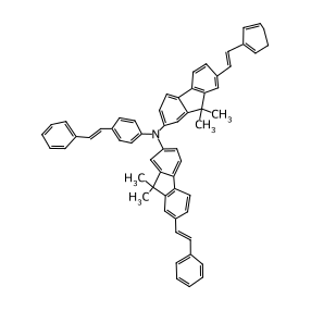 CC1(C)c2cc(/C=C/C3=CCCC=C3)ccc2-c2ccc(N(c3ccc(/C=C/c4ccccc4)cc3)c3ccc4c(c3)C(C)(C)c3cc(/C=C/c5ccccc5)ccc3-4)cc21